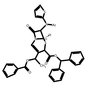 CC(=O)N(c1cccs1)C1C(=O)N2C=C(C(C)OC(=O)c3ccccc3)C(C(=O)OC(c3ccccc3)c3ccccc3)S[C@H]12